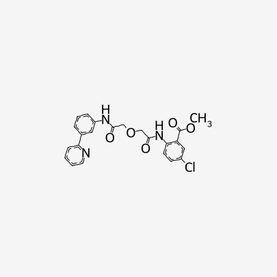 COC(=O)c1cc(Cl)ccc1NC(=O)COCC(=O)Nc1cccc(-c2ccccn2)c1